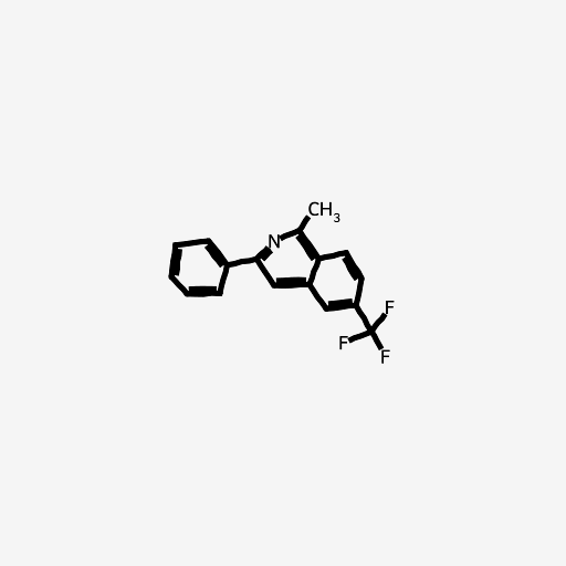 Cc1nc(-c2ccccc2)cc2cc(C(F)(F)F)ccc12